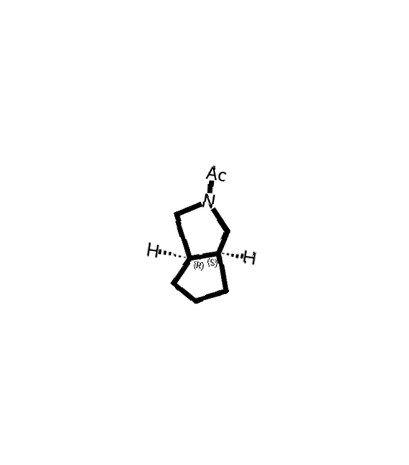 CC(=O)N1C[C@H]2CCC[C@H]2C1